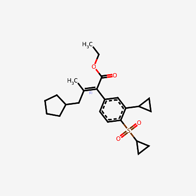 CCOC(=O)/C(=C(\C)CC1CCCC1)c1ccc(S(=O)(=O)C2CC2)c(C2CC2)c1